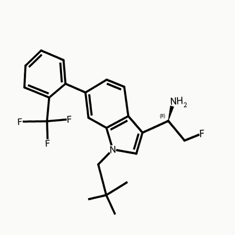 CC(C)(C)Cn1cc([C@@H](N)CF)c2ccc(-c3ccccc3C(F)(F)F)cc21